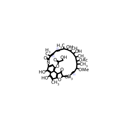 COC1/C=C/OC2(C)Oc3c(C)c(O)c4c(O)c(cc(OC(=O)CO)c4c3C2=O)NC(=O)/C(C)=C/C=C/C(C)C(O)C(C)C(O)C(C)C(OC(C)=O)C1C